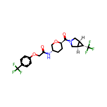 O=C(COc1ccc(C(F)(F)F)cc1)N[C@H]1CC[C@H](C(=O)N2C[C@@H]3[C@H](C2)[C@H]3C(F)(F)F)OC1